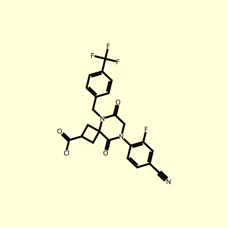 N#Cc1ccc(N2CC(=O)N(Cc3ccc(C(F)(F)F)cc3)C3(CC(C(=O)Cl)C3)C2=O)c(F)c1